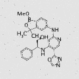 COB1OC(C)(C)c2cc(Nc3cc(N[C@H](CO)c4ccccc4)c(-c4nnco4)cn3)ccc21